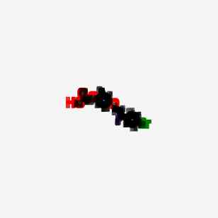 Cc1cc(OCC=C(I)c2ccc(Br)cc2)ccc1OCC(=O)O